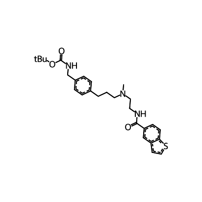 CN(CCCc1ccc(CNC(=O)OC(C)(C)C)cc1)CCNC(=O)c1ccc2sccc2c1